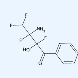 NC(F)(C(F)F)C(O)(F)C(=O)c1ccccc1